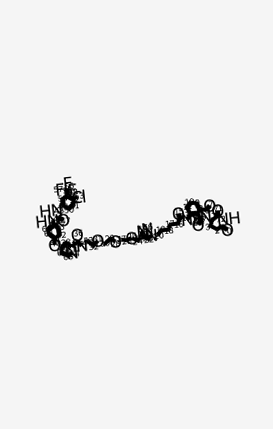 O=C1CCC(N2C(=O)c3cccc(NC(=O)CCCCCn4cc(COCCOCCOCCNC(=O)c5cc(Oc6ccc(NC(=O)Nc7ccc(Cl)c(C(F)(F)F)c7)cc6)ccn5)nn4)c3C2=O)C(=O)N1